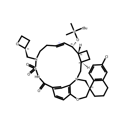 CC(C)(C)[Si](C)(C)O[C@H]1/C=C/CCN(C[C@@H]2CCO2)S(=O)(=O)NC(=O)c2ccc3c(c2)N(C[C@@H]2CC[C@H]21)C[C@@]1(CCCc2cc(Cl)ccc21)CO3